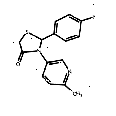 Cc1ccc(N2C(=O)CSC2c2ccc(F)cc2)cn1